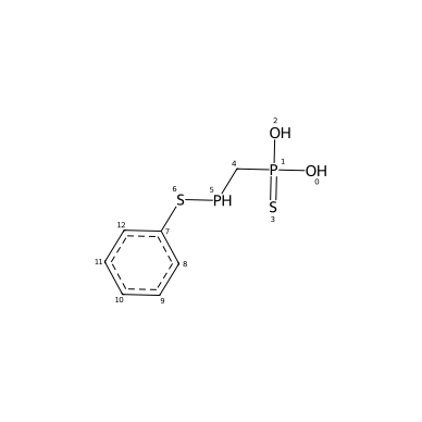 OP(O)(=S)CPSc1ccccc1